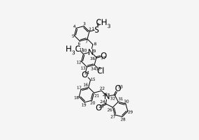 CSc1ccccc1Cn1c(C)cc(OCc2ccccc2CN2C(=O)c3ccccc3C2=O)c(Cl)c1=O